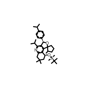 CC(C)c1ccc([C@H]2OC3(CCCC3I)c3c2c(C(C)C)nc2c3[C@@H](O[Si](C)(C)C(C)(C)C)CC(C)(C)C2)cc1